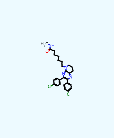 CNC(=O)CCCCCCN1CCCc2nc(-c3ccc(Cl)cc3)c(-c3ccc(Cl)cc3)nc21